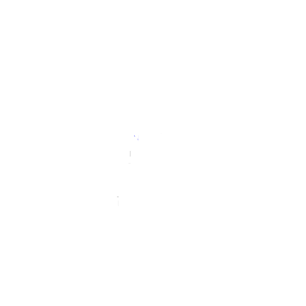 CC(C)N(c1ccccc1)[SiH]1C[SiH2]C1